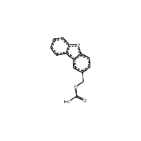 O=C(O)OCc1ccc2oc3ccccc3c2c1